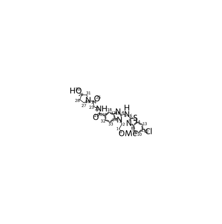 COCCn1c(Nc2nc3ccc(Cl)cc3s2)nc2cc(C(=O)NCC(=O)N3CC[C@@H](O)C3)ccc21